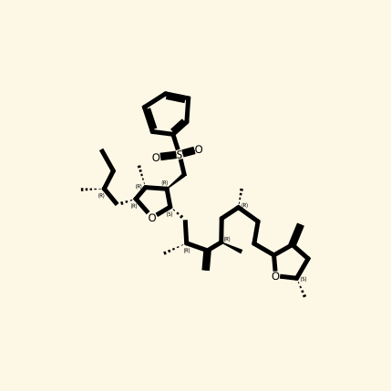 C=C1C[C@H](C)OC1CC[C@@H](C)C[C@@H](C)C(=C)[C@H](C)C[C@@H]1O[C@H](C[C@H](C)CC)[C@H](C)[C@H]1CS(=O)(=O)c1ccccc1